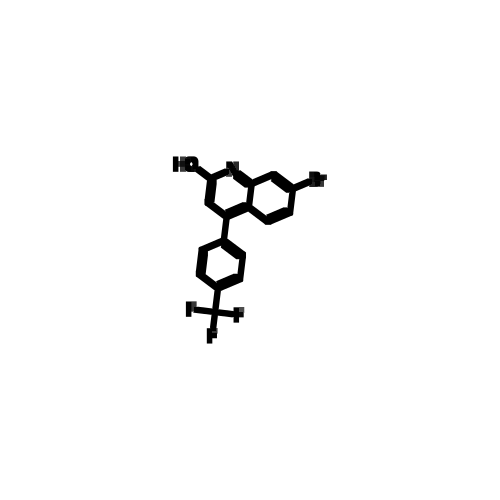 Oc1cc(-c2ccc(C(F)(F)F)cc2)c2ccc(Br)cc2n1